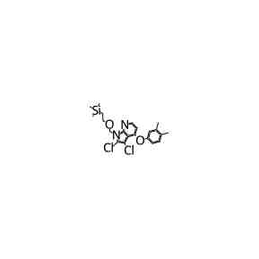 Cc1ccc(Oc2ccnc3c2c(Cl)c(Cl)n3COCC[Si](C)(C)C)cc1C